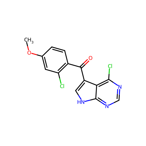 COc1ccc(C(=O)c2c[nH]c3ncnc(Cl)c23)c(Cl)c1